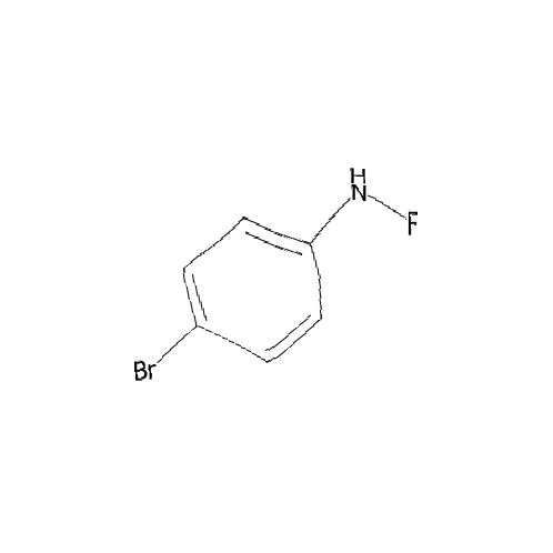 FNc1ccc(Br)cc1